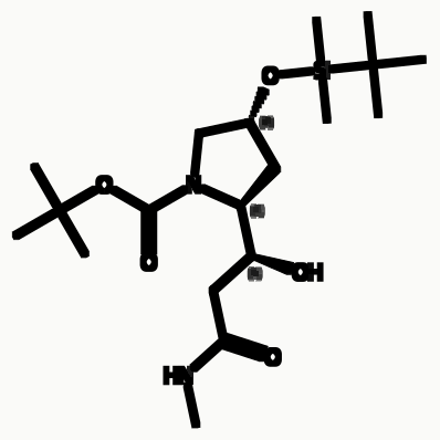 CNC(=O)C[C@H](O)[C@@H]1C[C@@H](O[Si](C)(C)C(C)(C)C)CN1C(=O)OC(C)(C)C